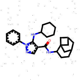 O=C(NC1CCC2CC3CC1(C2)C3)c1cnn(-c2ccccc2)c1NC1CCCCC1